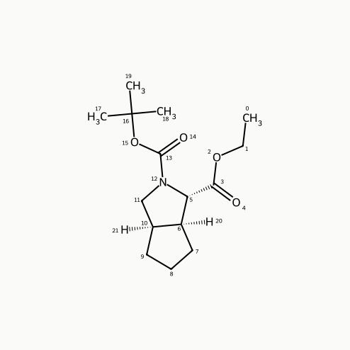 CCOC(=O)[C@@H]1[C@H]2CCC[C@H]2CN1C(=O)OC(C)(C)C